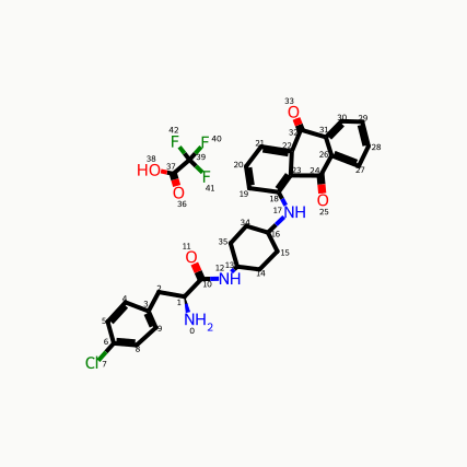 N[C@@H](Cc1ccc(Cl)cc1)C(=O)NC1CCC(Nc2cccc3c2C(=O)c2ccccc2C3=O)CC1.O=C(O)C(F)(F)F